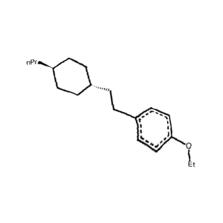 CCC[C@H]1CC[C@H](CCc2ccc(OCC)cc2)CC1